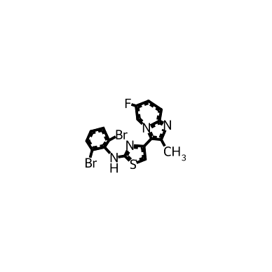 Cc1nc2ccc(F)cn2c1-c1csc(Nc2c(Br)cccc2Br)n1